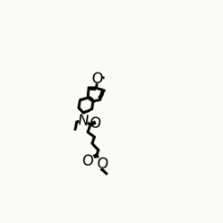 CCOC(=O)CCCCC(=O)N(CC)C1CCc2cc(OC)ccc2C1